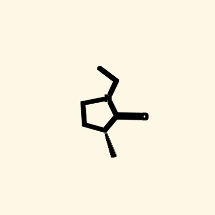 CCN1CC[C@@H](C)C1=O